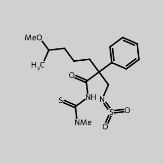 CNC(=S)NC(=O)C(CCCC(C)OC)(CN=S(=O)=O)c1ccccc1